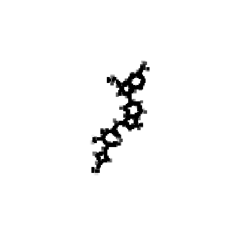 C[C@@H](NC(=O)Oc1c[nH]c2ncc(-c3nn(C)c4cc(C(F)(F)F)ccc34)nc12)C(=O)N1CC(C#N)C1